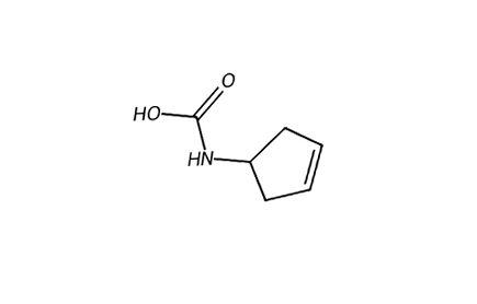 O=C(O)NC1CC=CC1